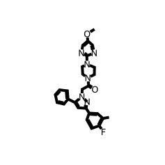 COc1cnc(N2CCN(C(=O)Cn3nc(-c4ccc(F)c(C)c4)cc3-c3ccccc3)CC2)nc1